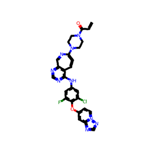 C=CC(=O)N1CCN(C2=C=Cc3c(ncnc3Nc3cc(F)c(Oc4ccn5ncnc5c4)c(Cl)c3)C=N2)CC1